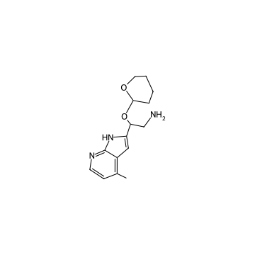 Cc1ccnc2[nH]c(C(CN)OC3CCCCO3)cc12